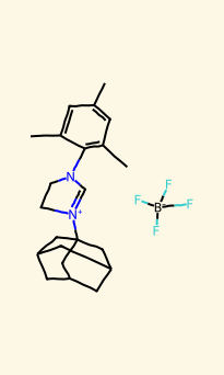 Cc1cc(C)c(N2C=[N+](C34CC5CC(CC(C5)C3)C4)CC2)c(C)c1.F[B-](F)(F)F